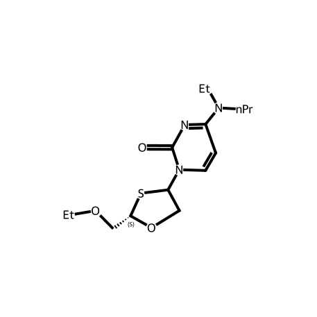 CCCN(CC)c1ccn(C2CO[C@H](COCC)S2)c(=O)n1